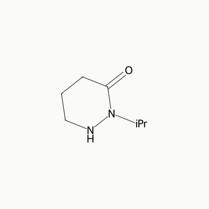 CC(C)N1NCCCC1=O